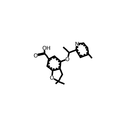 Cc1ccnc(C(C)Oc2cc(C(=O)O)cc3c2CC(C)(C)O3)c1